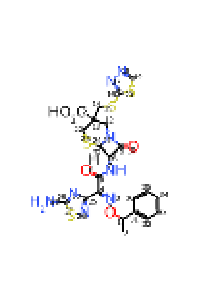 CC(ON=C(C(=O)NC1C(=O)N2CC(CSc3nncs3)(C(=O)O)CS[C@H]12)c1nsc(N)n1)c1ccccc1